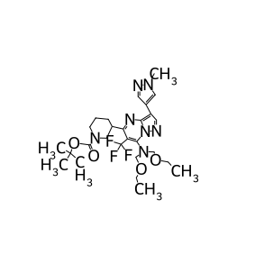 CCOCN(COCC)c1c(C(F)(F)F)c(C2CCCN(C(=O)OC(C)(C)C)C2)nc2c(-c3cnn(C)c3)cnn12